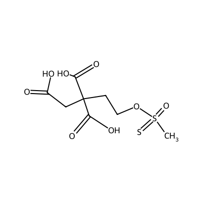 CS(=O)(=S)OCCC(CC(=O)O)(C(=O)O)C(=O)O